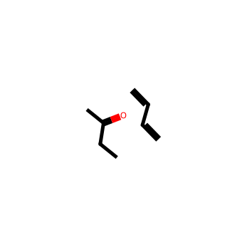 C=CC=C.CCC(C)=O